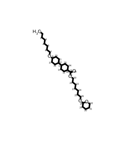 CCCCCCCCOC1CCC(C2CCC(C(=O)OCCCCCCCOC3CCCCO3)CC2)CC1